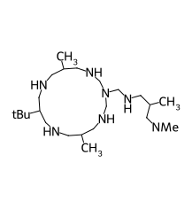 CNCC(C)CNCN1CNCC(C)CNCC(C(C)(C)C)CNCC(C)CNC1